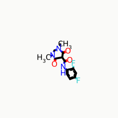 CN1CN(C)C(=O)C(C(=O)Nc2ccc(F)cc2F)C1=O